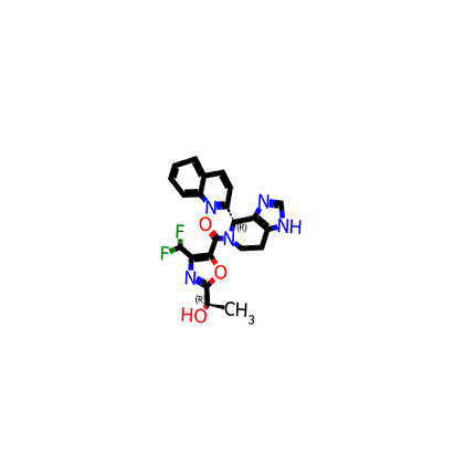 C[C@@H](O)c1nc(C(F)F)c(C(=O)N2CCc3[nH]cnc3[C@H]2c2ccc3ccccc3n2)o1